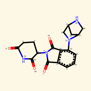 O=C1CCC(N2C(=O)c3cccc(N4CC5CC4CN5)c3C2=O)C(=O)N1